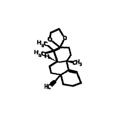 C#CC12CCCC=C1[C@@]1(C)CCC3(OCCO3)C(C)(C)[C@@H]1CC2